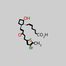 Cc1sc(CCC(=O)/C=C/[C@H]2CCC(O)[C@@H]2C/C=C\CCCC(=O)O)cc1Br